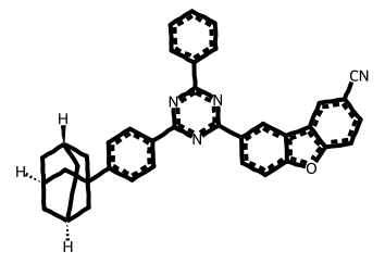 N#Cc1ccc2oc3ccc(-c4nc(-c5ccccc5)nc(-c5ccc(C67C[C@H]8C[C@H](C6)C[C@@H](C7)C8)cc5)n4)cc3c2c1